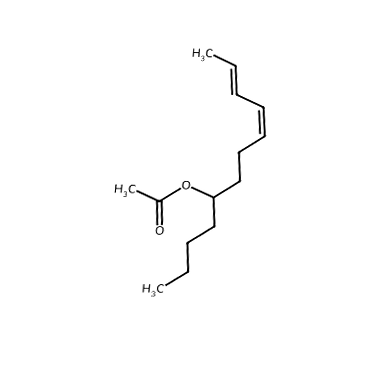 CC=C/C=C\CCC(CCCC)OC(C)=O